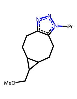 COCC1C2CCc3nnn(C(C)C)c3CCC21